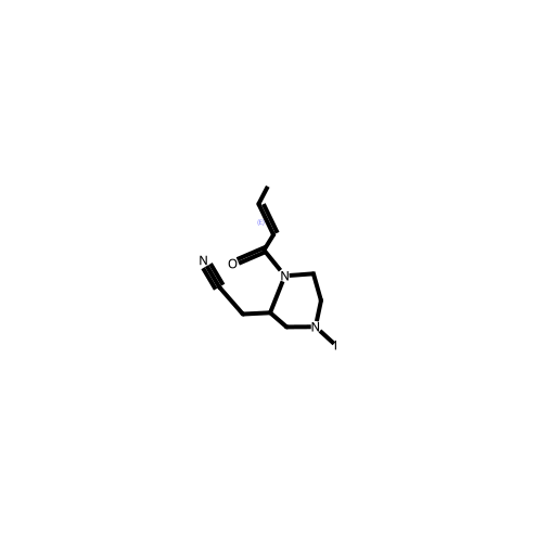 C/C=C/C(=O)N1CCN(I)CC1CC#N